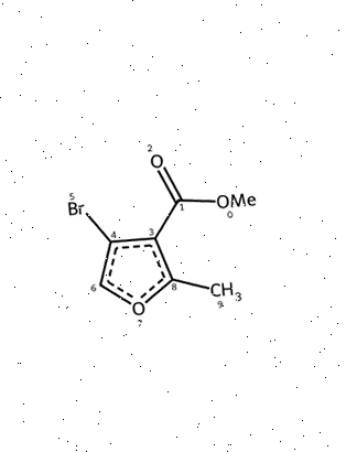 COC(=O)c1c(Br)coc1C